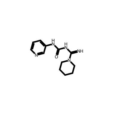 N=C(NC(=O)Nc1cccnc1)N1CCCCC1